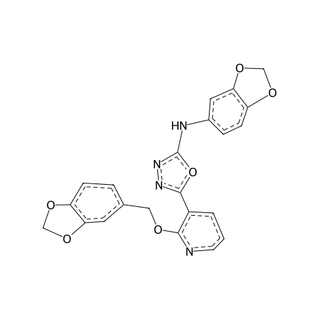 c1cnc(OCc2ccc3c(c2)OCO3)c(-c2nnc(Nc3ccc4c(c3)OCO4)o2)c1